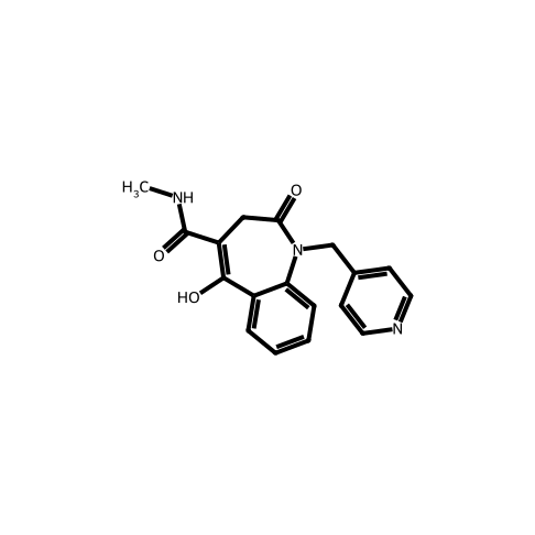 CNC(=O)C1=C(O)c2ccccc2N(Cc2ccncc2)C(=O)C1